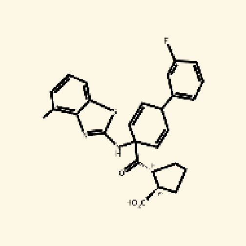 Cc1cccc2sc(NC3(C(=O)[C@@H]4CCC[C@H]4C(=O)O)C=CC(c4cccc(F)c4)C=C3)nc12